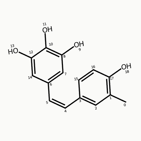 Cc1cc(/C=C\c2cc(O)c(O)c(O)c2)ccc1O